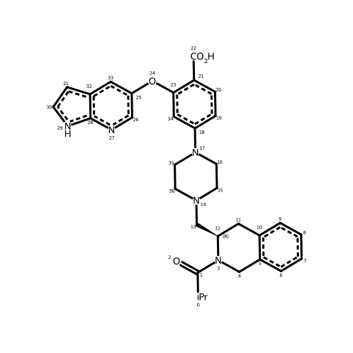 CC(C)C(=O)N1Cc2ccccc2C[C@@H]1CN1CCN(c2ccc(C(=O)O)c(Oc3cnc4[nH]ccc4c3)c2)CC1